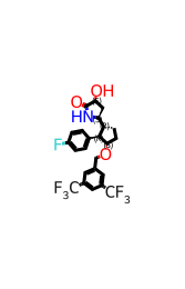 O=C1N[C@H]([C@@H]2CC[C@H](OCc3cc(C(F)(F)F)cc(C(F)(F)F)c3)[C@H]2c2ccc(F)cc2)C[C@@H]1O